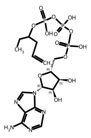 C=CCC(CC)OP(=O)(O)OP(=O)(O)OP(=O)(O)OC[C@H]1O[C@@H](n2cnc3c(N)ncnc32)[C@H](O)[C@@H]1O